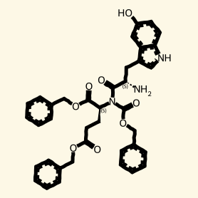 N[C@@H](Cc1c[nH]c2ccc(O)cc12)C(=O)N(C(=O)OCc1ccccc1)[C@@H](CCC(=O)OCc1ccccc1)C(=O)OCc1ccccc1